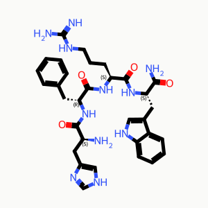 N=C(N)NCCC[C@H](NC(=O)[C@@H](Cc1ccccc1)NC(=O)[C@@H](N)Cc1c[nH]cn1)C(=O)N[C@@H](Cc1c[nH]c2ccccc12)C(N)=O